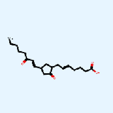 CCCCCC(=O)C=CC1CC(=O)C(CC=CCCCC(=O)O)C1